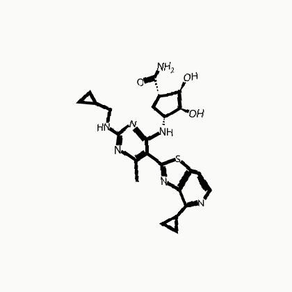 Cc1nc(NCC2CC2)nc(N[C@@H]2C[C@H](C(N)=O)[C@@H](O)[C@H]2O)c1-c1nc2c(C3CC3)nccc2s1